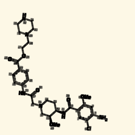 COc1cc(N)c(Cl)cc1C(=O)N[C@@H]1CCN(CC(=O)Nc2ccc(C(=O)OCCN3CCNCC3)cc2)C[C@@H]1OC